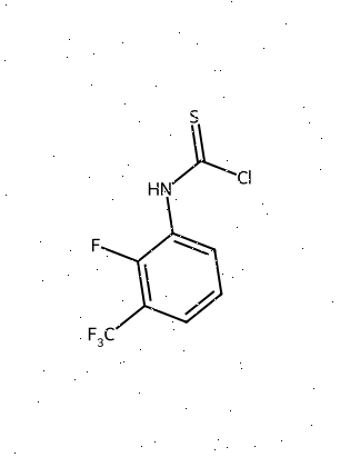 Fc1c(NC(=S)Cl)cccc1C(F)(F)F